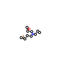 c1cc(-c2cccc(N(c3cccc(-c4cccc5ccccc45)c3)c3cccc(-c4cccc5c4oc4ccccc45)c3)c2)cc(-c2cccc3c2sc2ccccc23)c1